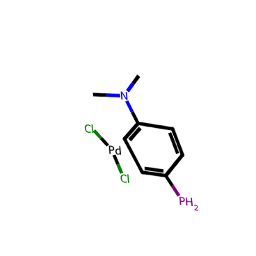 CN(C)c1ccc(P)cc1.[Cl][Pd][Cl]